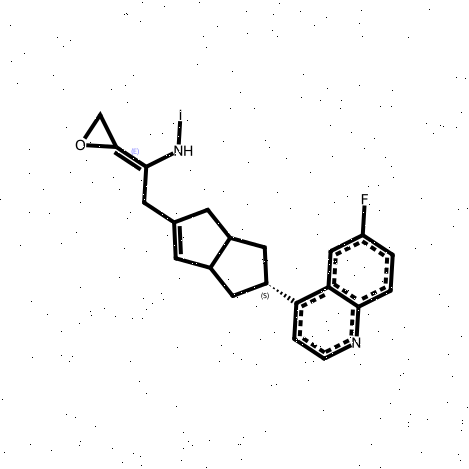 Fc1ccc2nccc([C@@H]3CC4C=C(C/C(NI)=C5/CO5)CC4C3)c2c1